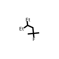 CCC(CC)CC(C)(C)F